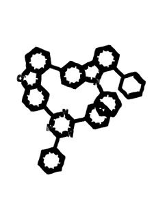 C1=CCC(c2cccc3c4cc(-c5cccc6oc7ccc(-c8nc(-c9ccccc9)nc(-c9ccccc9)n8)cc7c56)ccc4n(-c4ccccc4)c23)C=C1